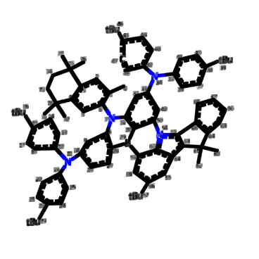 Cc1cc2c(cc1N1c3cc(N(c4ccc(C(C)(C)C)cc4)c4ccc(C(C)(C)C)cc4)ccc3B3c4c1cc(N(c1ccc(C(C)(C)C)cc1)c1ccc(C(C)(C)C)cc1)cc4-n1c4c(c5cc(C(C)(C)C)cc3c51)C(C)(C)c1ccccc1-4)C(C)(C)CCC2(C)C